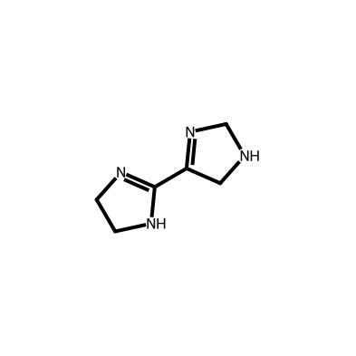 C1CNC(C2=NCNC2)=N1